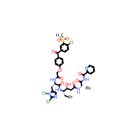 CC[C@H](C)[C@H](NC(=O)C[C@H](O)[C@H](CC(C)C)NC(=O)[C@H](Cc1cnc(Cl)n1Cl)NC(=O)COc1ccc(C(=O)c2ccc(Cl)c(S(C)(=O)=O)c2)cc1)C(=O)NC(=O)c1ccccn1